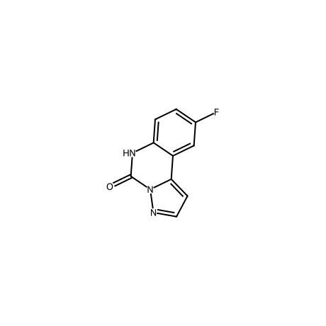 O=c1[nH]c2ccc(F)cc2c2ccnn12